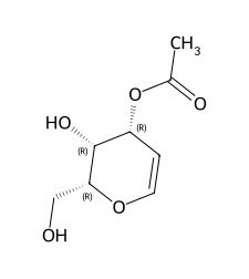 CC(=O)O[C@@H]1C=CO[C@H](CO)[C@@H]1O